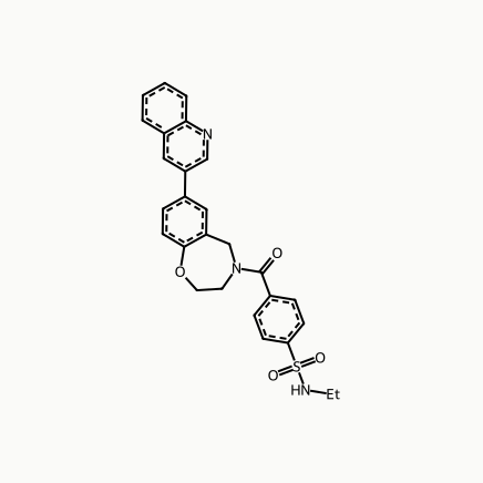 CCNS(=O)(=O)c1ccc(C(=O)N2CCOc3ccc(-c4cnc5ccccc5c4)cc3C2)cc1